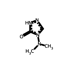 CN(C)n1cn[nH]c1=O